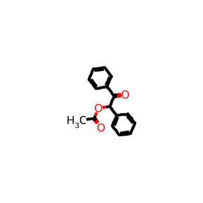 CC(=O)OC(C(=O)c1ccccc1)c1ccccc1